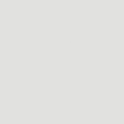 CCCC/C=C\C=C/CCCCCCCCCCI